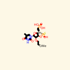 COCCO[C@@H]1[C@H](OP(O)(=S)C(C)C)[C@@H](/C=C/P(=O)(O)O)O[C@H]1n1cc(C)c(=O)[nH]c1=O